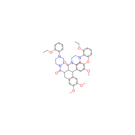 CCOc1ccccc1N1CCN(C(=O)C2Cc3cc(OC)c(OC)cc3C(c3ccc(OC)c(OC)c3)C2C(=O)N2CCN(c3ccccc3OCC)CC2)CC1